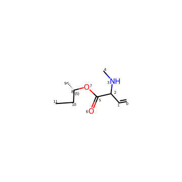 C=CC(NC)C(=O)O[C@@H](C)CC